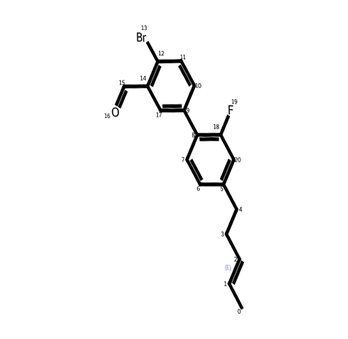 C/C=C/CCc1ccc(-c2ccc(Br)c(C=O)c2)c(F)c1